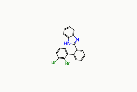 Brc1cccc(-c2ccccc2-c2nc3ccccc3[nH]2)c1Br